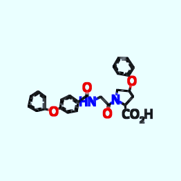 O=C(NCC(=O)N1CC(Oc2ccccc2)CC1C(=O)O)c1ccc(Oc2ccccc2)cc1